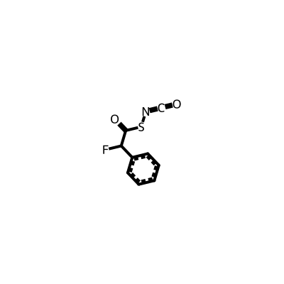 O=C=NSC(=O)C(F)c1ccccc1